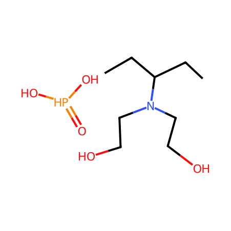 CCC(CC)N(CCO)CCO.O=[PH](O)O